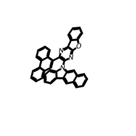 c1ccc2cc3c(cc2c1)c1ccccc1n3-c1nc2oc3ccccc3c2nc1-c1cc2ccccc2c2ccccc12